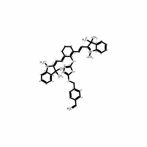 C=Cc1ccc(CSc2nnc(SC3=C(/C=C/C4=[N+](C)c5ccccc5C4(C)C)CCC/C3=C\C=C3\N(C)c4ccccc4C3(C)C)s2)cc1